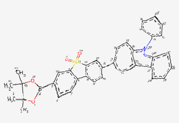 CC1(C)OB(c2ccc3c(c2)S(=O)(=O)c2cc(-c4ccc5c(c4)c4ccccc4n5-c4ccccc4)ccc2-3)OC1(C)C